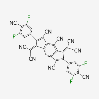 N#CC(C#N)=C1C(c2cc(F)c(C#N)c(F)c2)=C(C#N)c2c1cc1c(c2C#N)C(=C(C#N)C#N)C(c2cc(F)c(C#N)c(F)c2)=C1C#N